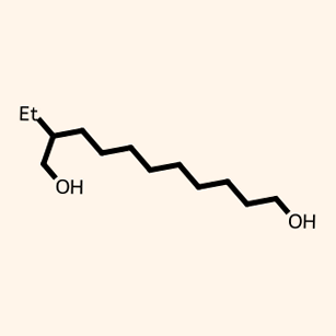 CCC(CO)CCCCCCCCCO